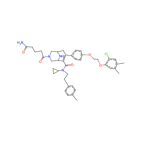 Cc1ccc(CCN(C(=O)C2=C(c3ccc(OCCOc4cc(C)c(C)cc4Cl)cc3)CC3CN(C(=O)CCCC(N)=O)CC2N3)C2CC2)cc1